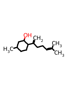 C=C(CCC=C(C)C)C1CCC(C)CC1O